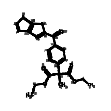 CCOC(=O)C(C)(C(=O)OCC)c1ccc(C(=O)c2cc3ccsc3s2)cc1